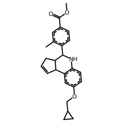 COC(=O)c1ccc(C2Nc3ccc(OCC4CC4)cc3C3C=CCC32)c(C)c1